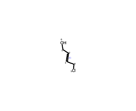 OC/C=C/CCl